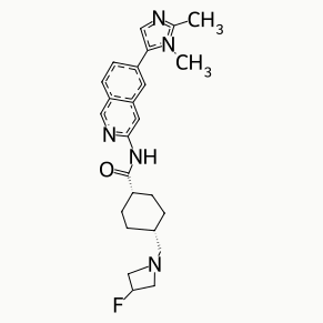 Cc1ncc(-c2ccc3cnc(NC(=O)[C@H]4CC[C@@H](CN5CC(F)C5)CC4)cc3c2)n1C